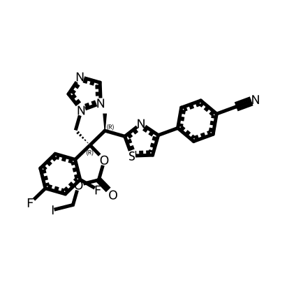 C[C@@H](c1nc(-c2ccc(C#N)cc2)cs1)[C@@](Cn1cncn1)(OC(=O)OCI)c1ccc(F)cc1F